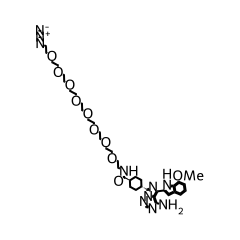 COc1cccc2cc(-c3nc([C@H]4CC[C@H](C(=O)NCCOCCOCCOCCOCCOCCOCCOCCOCCN=[N+]=[N-])CC4)n4ncnc(N)c34)[nH]c12